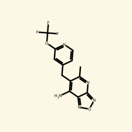 Cc1nc2nonc2c(N)c1Cc1ccnc(OC(F)(F)F)c1